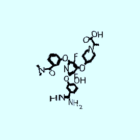 CC(C(=O)O)N1CCC(Oc2c(F)c(Oc3cccc(C(=O)N(C)C)c3)nc(Oc3cc(C(=N)N)ccc3O)c2F)CC1